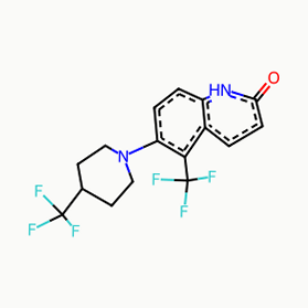 O=c1ccc2c(C(F)(F)F)c(N3CCC(C(F)(F)F)CC3)ccc2[nH]1